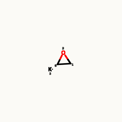 C1CO1.[K]